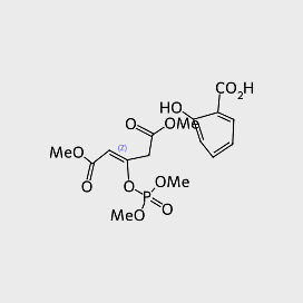 COC(=O)/C=C(/CC(=O)OC)OP(=O)(OC)OC.O=C(O)c1ccccc1O